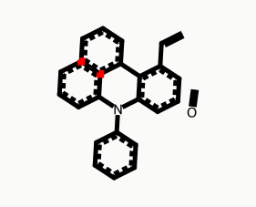 C=Cc1cccc(N(c2ccccc2)c2ccccc2)c1-c1ccccc1.C=O